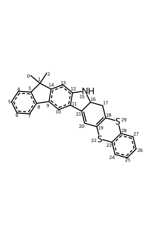 CC1(C)c2ccccc2-c2cc3c(cc21)NC1CC2=C(C=C31)Sc1ccccc1S2